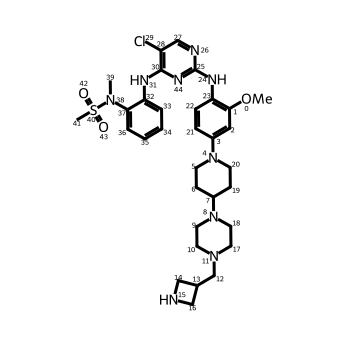 COc1cc(N2CCC(N3CCN(CC4CNC4)CC3)CC2)ccc1Nc1ncc(Cl)c(Nc2ccccc2N(C)S(C)(=O)=O)n1